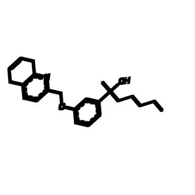 CCCCCC(C)(O)c1cccc(OCc2ccc3c(n2)CC=CC3)c1